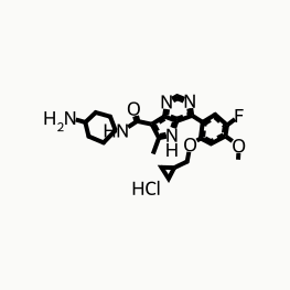 COc1cc(OCC2CC2)c(-c2ncnc3c(C(=O)NC4CCC(N)CC4)c(C)[nH]c23)cc1F.Cl